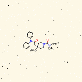 CCCCCN(C)C(=O)N1CCC(CC(=O)N(c2ccccc2)c2ccccc2)(C(=O)O)CC1